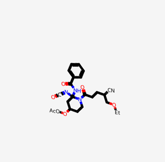 CCOCC(C#N)CCC(=O)N1CCC(OOC(C)=O)CC1(N=C=O)NC(=O)c1ccccc1